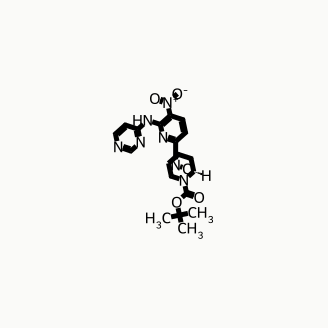 CC(C)(C)OC(=O)N1CC2CC[C@@H]1CN2c1ccc([N+](=O)[O-])c(Nc2ccncn2)n1